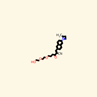 CC1CCN1c1ccc2cc(/C=C(\C#N)C(=O)CCCOCCOCCO)ccc2c1